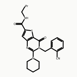 CC(C)CNC(=O)c1cc2nc(N3CCCCC3)n(Cc3ccccc3C#N)c(=O)c2s1